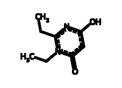 CCc1nc(O)cc(=O)n1CC